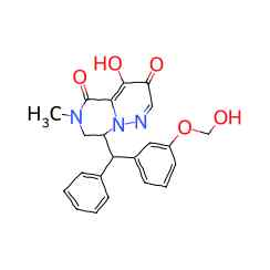 CN1CC(C(c2ccccc2)c2cccc(OCO)c2)n2ncc(=O)c(O)c2C1=O